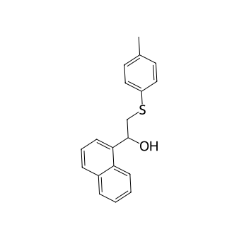 Cc1ccc(SCC(O)c2cccc3ccccc23)cc1